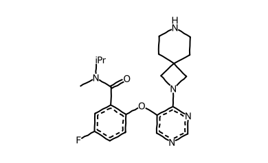 CC(C)N(C)C(=O)c1cc(F)ccc1Oc1cncnc1N1CC2(CCNCC2)C1